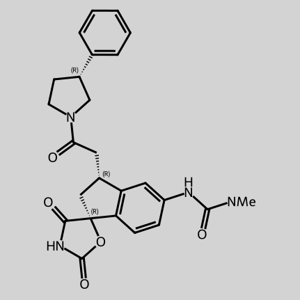 CNC(=O)Nc1ccc2c(c1)[C@@H](CC(=O)N1CC[C@H](c3ccccc3)C1)C[C@@]21OC(=O)NC1=O